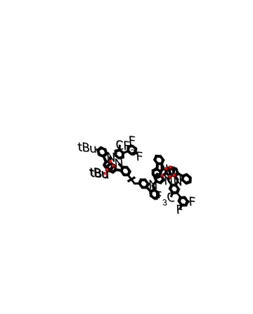 CC(C)(C)c1ccc2c(c1)c1cc(C(C)(C)C)ccc1n2-c1cc(C(F)(F)F)c(-c2cc(F)cc(F)c2)cc1-n1c2ccc(C(C)(C)C)cc2c2cc(C(C)(C)Cc3ccc4c(c3)c3ccccc3n4-c3ccc4c5ccccc5n(-c5cc(C(F)(F)F)c(-c6cc(F)cc(F)c6)cc5-n5c6ccccc6c6ccc(-n7c8ccccc8c8ccccc87)cc65)c4c3)ccc21